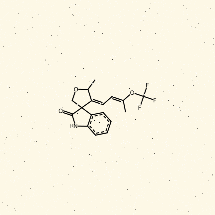 C/C(=C\C=C1/C(C)OCC12C(=O)Nc1ccccc12)OC(F)(F)F